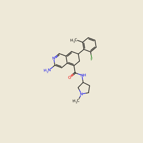 Cc1cccc(F)c1C1C=c2cnc(N)cc2=C(C(=O)NC2CCN(C)C2)C1